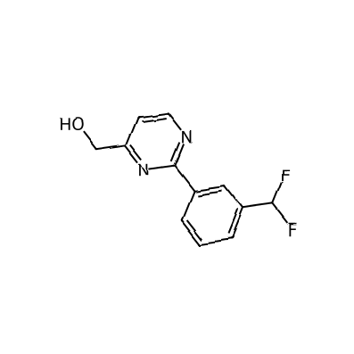 OCc1ccnc(-c2cccc(C(F)F)c2)n1